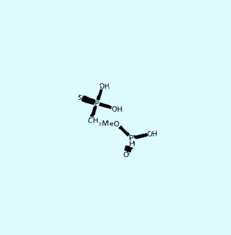 CO[PH](=O)O.CP(O)(O)=S